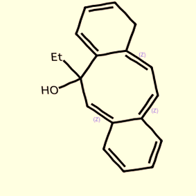 CCC1(O)/C=c2/cccc/c2=C/C=C2/CC=CC=C21